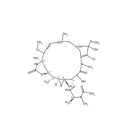 COC1/C=C/C=C(\C)CC2=CC(O)(OC)C(Cl)=C(C2)N(C)C(=O)C(O)[C@H](OC(=O)[C@H](C)N(C)C(C)=O)[C@]2(C)O[C@H]2[C@H](C)[C@@H]2C[C@@]1(O)NC(=O)O2